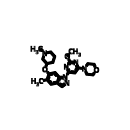 COc1nc(N2CCOCC2)cc(-n2ncc3cc(C)c(OC4CCCN(C)C4)cc32)n1